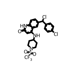 O=c1cc(NC2CCN(S(=O)(=O)C(F)(F)F)CC2)c2cc(C(Cl)c3ccc(Cl)cc3)ccc2[nH]1